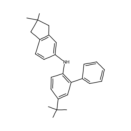 CC1(C)Cc2ccc(Nc3ccc(C(C)(C)C)cc3-c3ccccc3)cc2C1